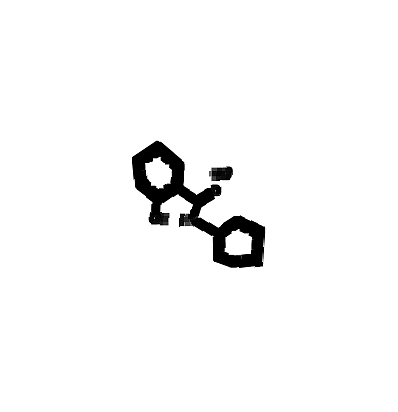 O=C(Nc1ccccc1)c1ccccc1O.[OH]